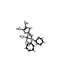 CC(C)(C)[Si](OC1CC(O)=C(O)C1)(c1ccccc1)c1ccccc1